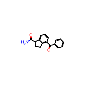 NC(=O)C1CCc2c(C(=O)c3ccccc3)cccc21